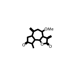 C=C1CC(OC)C2C(=C)C(=O)OC2C2C(C)C(=O)CC12